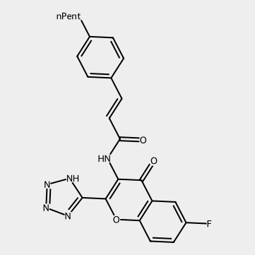 CCCCCc1ccc(C=CC(=O)Nc2c(-c3nnn[nH]3)oc3ccc(F)cc3c2=O)cc1